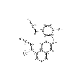 C[C@H](N=C=O)c1cccc2ccccc12.O=C=Nc1ccc(F)c(F)c1